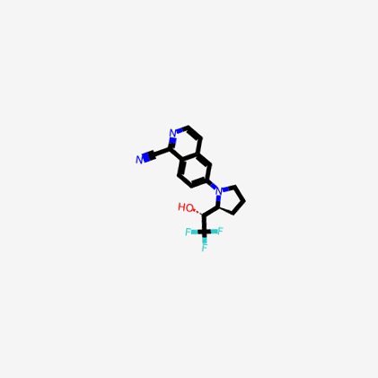 N#Cc1nccc2cc(N3CCC[C@H]3[C@@H](O)C(F)(F)F)ccc12